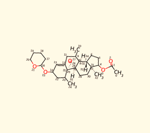 CC(=O)OC1CC[C@H]2[C@@H]3C(C)CC4=CC(OC5CCCCO5)CC(C)[C@]4(C=O)[C@@H]3CC[C@]12C